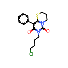 O=c1c(-c2ccccc2)c2n(c(=O)n1CCCCCl)CCCS2